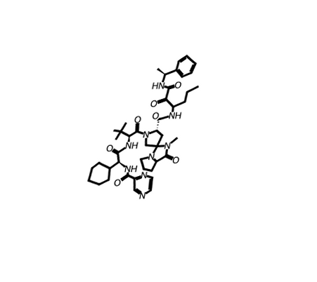 CCCC(NC(=O)[C@@H]1CC2(CN1C(=O)[C@@H](NC(=O)[C@@H](NC(=O)c1cnccn1)C1CCCCC1)C(C)(C)C)N(C)C(=O)C1CCCN12)C(=O)C(=O)N[C@@H](C)c1ccccc1